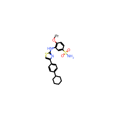 CC(C)Oc1ccc(S(N)(=O)=O)cc1Nc1nc(-c2ccc(C3CCCCC3)cc2)cs1